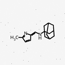 CC1=N/C(=C/NC23CC4CC(CC(C4)C2)C3)C=C1